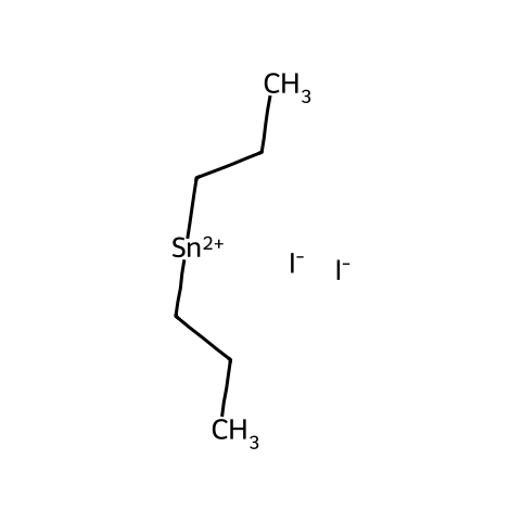 CC[CH2][Sn+2][CH2]CC.[I-].[I-]